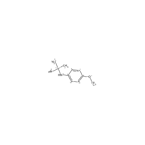 CCCC(C)(C)Nc1ccc(OC(F)(F)F)cc1